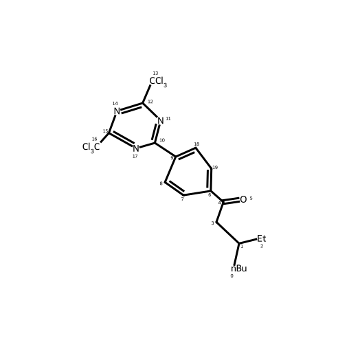 CCCCC(CC)CC(=O)c1ccc(-c2nc(C(Cl)(Cl)Cl)nc(C(Cl)(Cl)Cl)n2)cc1